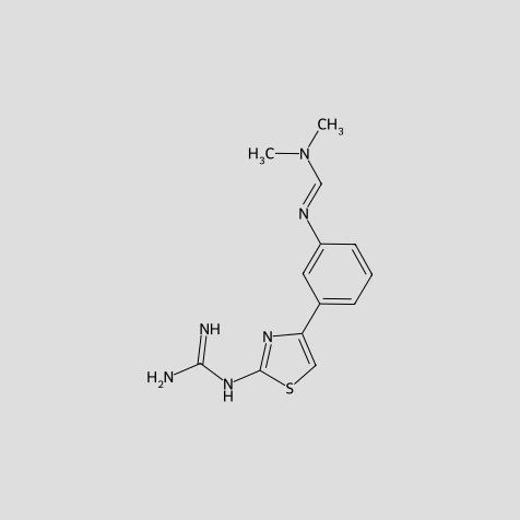 CN(C)C=Nc1cccc(-c2csc(NC(=N)N)n2)c1